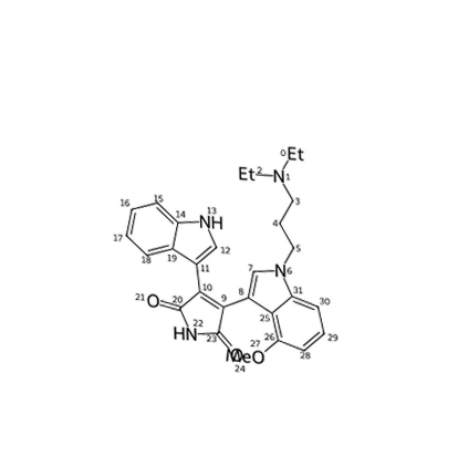 CCN(CC)CCCn1cc(C2=C(c3c[nH]c4ccccc34)C(=O)NC2=O)c2c(OC)cccc21